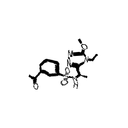 CCn1c(OC)nnc1[C@@H](C)NS(=O)(=O)c1cccc(C(C)=O)c1